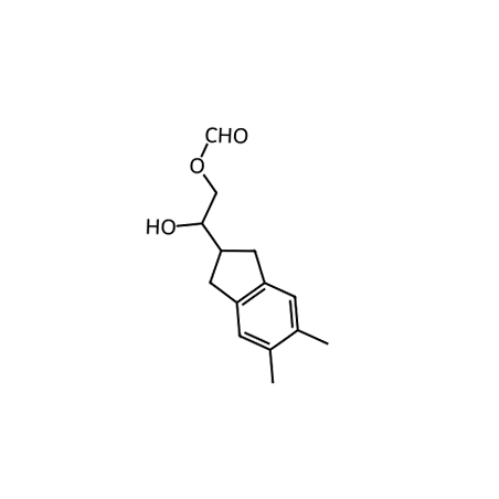 Cc1cc2c(cc1C)CC(C(O)COC=O)C2